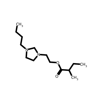 CCCCN1CCN(CCOC(=O)C(C)CC)C1